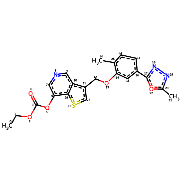 CCOC(=O)Oc1cncc2c(COc3cc(-c4nnc(C)o4)ccc3C)csc12